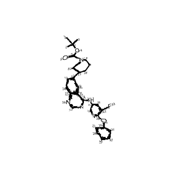 CC(C)(C)OC(=O)N1CCCC(c2ccc3ncnc(Nc4cnc(Oc5ccccc5)c(F)c4)c3c2)C1